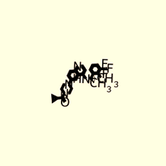 Cc1c([C@@H](C)Nc2ccnc3ccc(N4CCN(C(=O)C5CC5)CC4)cc23)cccc1C(F)(F)F